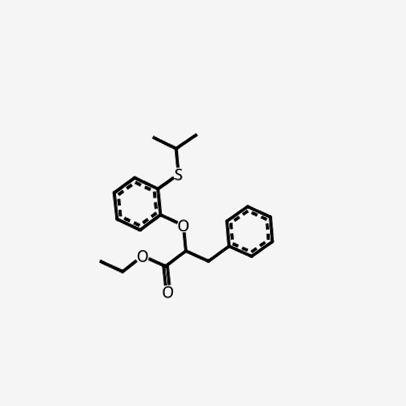 CCOC(=O)C(Cc1ccccc1)Oc1ccccc1SC(C)C